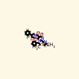 CCC(c1ccccc1)n1c(-c2nc(C)cs2)nc(=O)c(C(=O)N2CCC(c3ccccc3F)C2)c1O